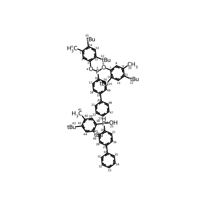 Cc1cc(OP(Oc2cc(C)c(C(C)(C)C)cc2C(C)(C)C)c2ccc(-c3ccc([PH](O)(c4ccc(-c5ccccc5)cc4)c4cc(C)c(C(C)(C)C)cc4C(C)(C)C)cc3)cc2)c(C(C)(C)C)cc1C(C)(C)C